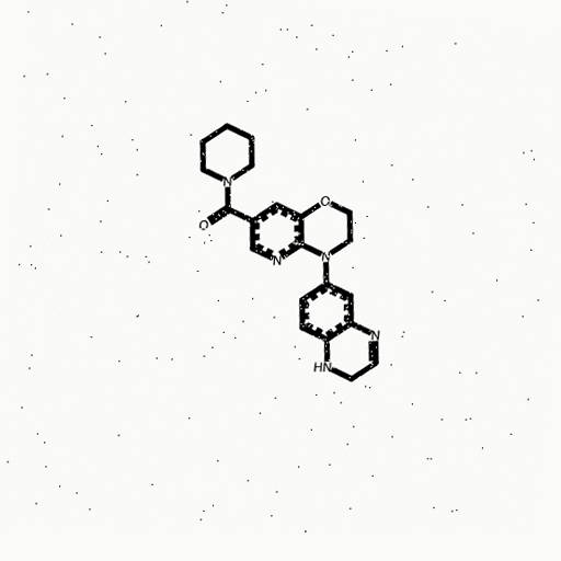 O=C(c1cnc2c(c1)OCCN2c1ccc2c(c1)N=CCN2)N1CCCCC1